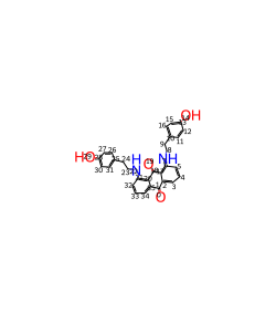 O=C1c2cccc(NCCc3ccc(O)cc3)c2C(=O)c2c(NCCc3ccc(O)cc3)cccc21